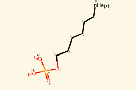 CCCCCCCCCCCCCOP(=O)(O)O